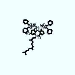 CC(C)=CCCC(C)=CCCC(C)=CCN1C(=O)c2cccc(OP(=O)(OCc3ccccc3)OCc3ccccc3)c2Nc2c(OP(=O)(OCc3ccccc3)OCc3ccccc3)cc(O)cc21